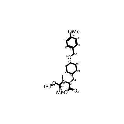 COC(=O)[C@H](C[C@H]1CC[C@H](OCc2ccc(OC)cc2)CC1)NC(=O)OC(C)(C)C